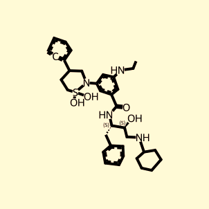 CCNc1cc(C(=O)N[C@@H](Cc2ccccc2)[C@@H](O)CNC2CCCCC2)cc(N2CC(c3ccccc3)CCS2(O)O)c1